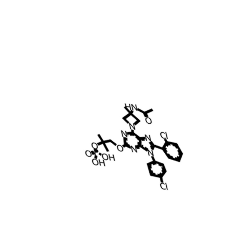 CC(=O)NC1(C)CN(c2nc(OCC(C)(C)OP(=O)(O)O)nc3c2nc(-c2ccccc2Cl)n3-c2ccc(Cl)cc2)C1